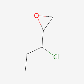 CCC(Cl)C1CO1